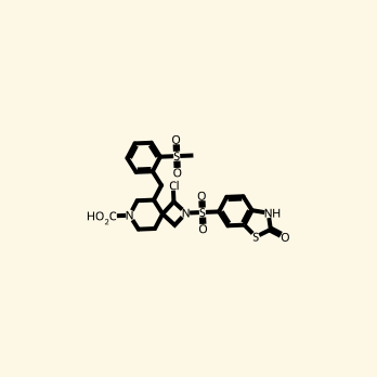 CS(=O)(=O)c1ccccc1CC1CN(C(=O)O)CCC12CN(S(=O)(=O)c1ccc3[nH]c(=O)sc3c1)C2Cl